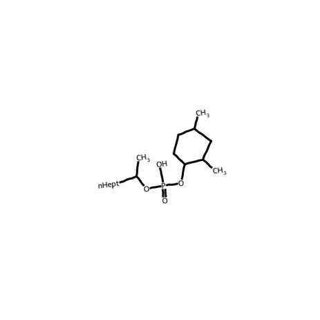 CCCCCCCC(C)OP(=O)(O)OC1CCC(C)CC1C